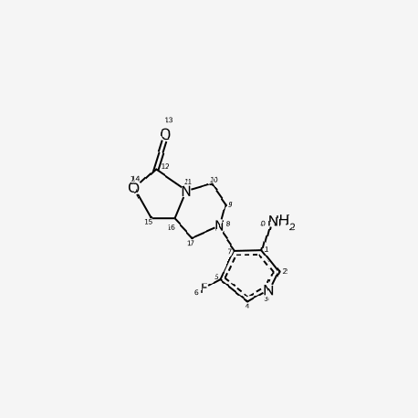 Nc1cncc(F)c1N1CCN2C(=O)OCC2C1